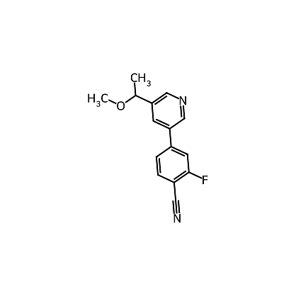 COC(C)c1cncc(-c2ccc(C#N)c(F)c2)c1